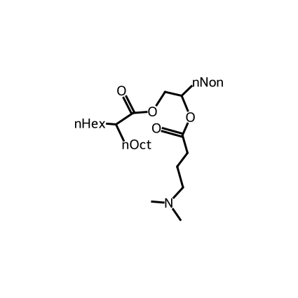 CCCCCCCCCC(COC(=O)C(CCCCCC)CCCCCCCC)OC(=O)CCCN(C)C